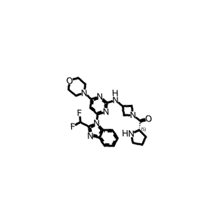 O=C([C@@H]1CCCN1)N1CC(Nc2nc(N3CCOCC3)cc(-n3c(C(F)F)nc4ccccc43)n2)C1